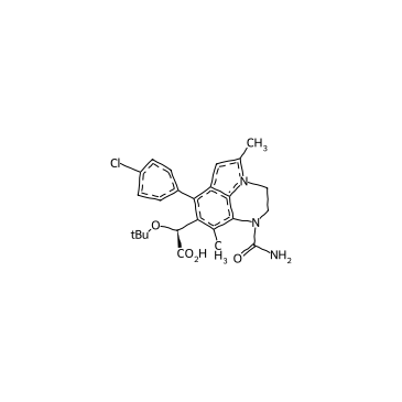 Cc1c([C@H](OC(C)(C)C)C(=O)O)c(-c2ccc(Cl)cc2)c2cc(C)n3c2c1N(C(N)=O)CC3